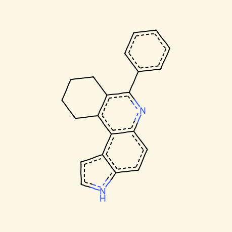 c1ccc(-c2nc3ccc4[nH]ccc4c3c3c2CCCC3)cc1